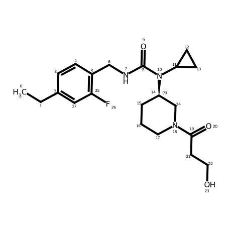 CCc1ccc(CNC(=O)N(C2CC2)[C@@H]2CCCN(C(=O)CCO)C2)c(F)c1